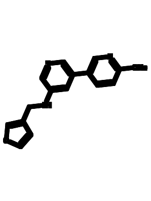 COc1ccc(-c2cncc(NCc3ccoc3)c2)cn1